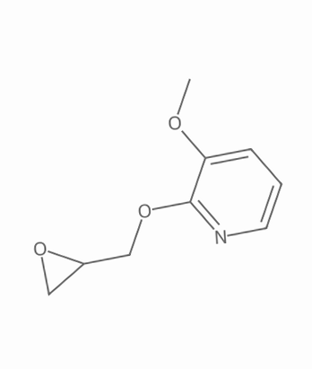 COc1cccnc1OCC1CO1